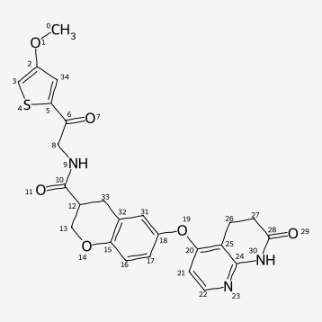 COc1csc(C(=O)CNC(=O)C2COc3ccc(Oc4ccnc5c4CCC(=O)N5)cc3C2)c1